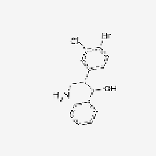 NCC(c1ccc(Br)c(Cl)c1)C(O)c1ccccc1